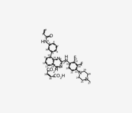 C=CC(=O)Nc1cccc(-c2cccc3cnc(Nc4ccc(N5CCN(C)CC5)c(F)c4F)nc23)c1.O=C(O)/C=C\C(=O)O